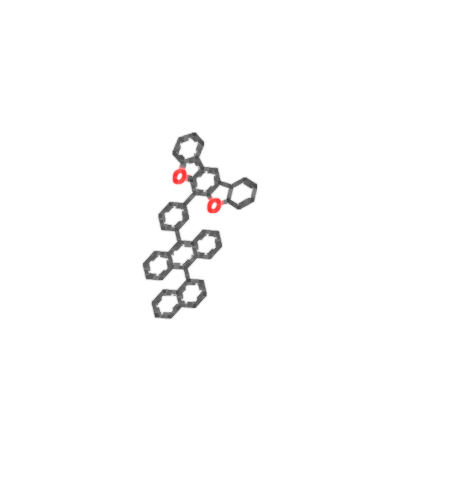 C1=CC2Oc3c(cc4c(oc5ccccc54)c3-c3cccc(-c4c5ccccc5c(-c5cccc6ccccc56)c5ccccc45)c3)C2C=C1